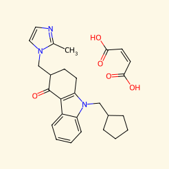 Cc1nccn1CC1CCc2c(c3ccccc3n2CC2CCCC2)C1=O.O=C(O)/C=C\C(=O)O